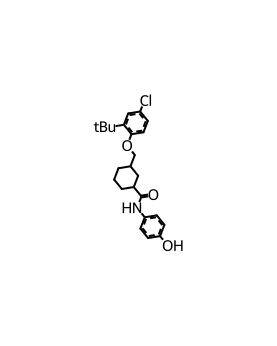 CC(C)(C)c1cc(Cl)ccc1OCC1CCCC(C(=O)Nc2ccc(O)cc2)C1